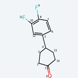 O=C1CCC(c2ccc(F)c(F)c2)CC1